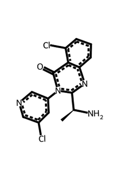 C[C@H](N)c1nc2cccc(Cl)c2c(=O)n1-c1cncc(Cl)c1